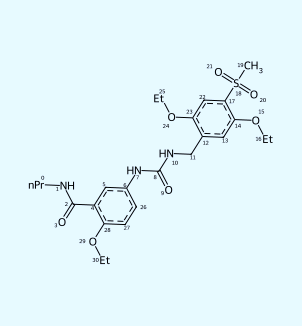 CCCNC(=O)c1cc(NC(=O)NCc2cc(OCC)c(S(C)(=O)=O)cc2OCC)ccc1OCC